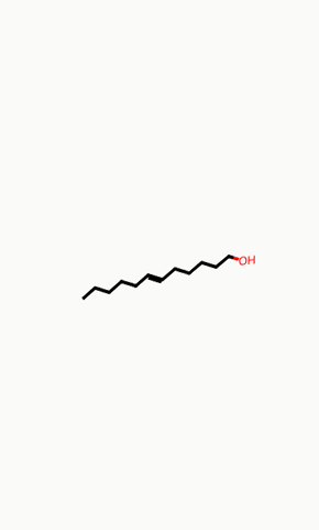 CCCCCC=CCCCCCO